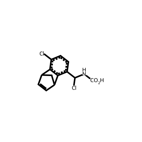 O=C(O)NC(Cl)c1ccc(Cl)c2c1C1C=CC2C1